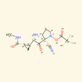 CNC(=O)[C@H]1C[C@@H]1[C@H](N)C(=O)[C@@]1(C#N)CCCN1OC(=O)C(F)(F)F